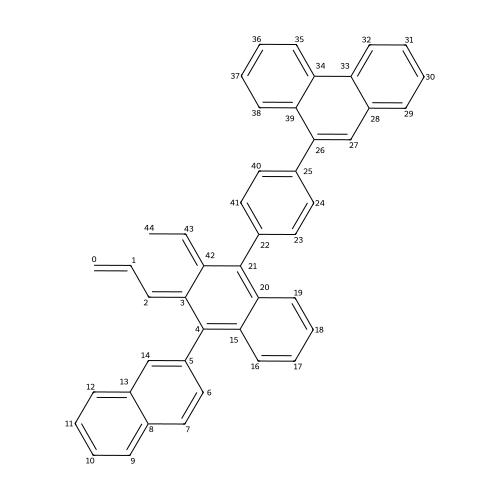 C=C/C=c1/c(-c2ccc3ccccc3c2)c2ccccc2c(-c2ccc(-c3cc4ccccc4c4ccccc34)cc2)/c1=C/C